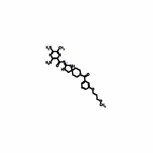 COCCCOc1cccc(C(=O)N2CCC3(CC2)CN/C(=N\C(=O)c2nc(C)c(N)nc2N)N3)c1